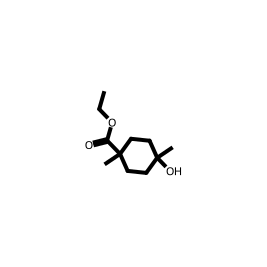 CCOC(=O)C1(C)CCC(C)(O)CC1